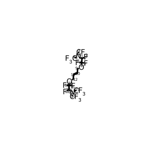 FC(N(C(F)(F)F)C(F)(F)F)C(F)(F)OC/C=C/COC(F)(F)C(F)N(C(F)(F)F)C(F)(F)F